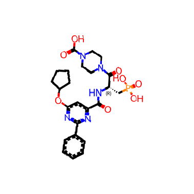 O=C(N[C@@H](CP(=O)(O)O)C(=O)N1CCN(C(=O)O)CC1)c1cc(OC2CCCC2)nc(-c2ccccc2)n1